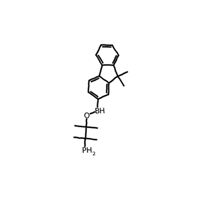 CC1(C)c2ccccc2-c2ccc(BOC(C)(C)C(C)(C)P)cc21